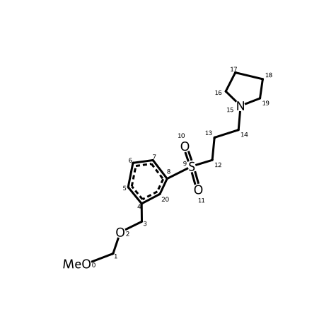 COCOCc1cccc(S(=O)(=O)CCCN2CCCC2)c1